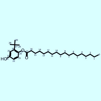 CCCCCCCCCCCCCCCCCC(=O)Oc1ccc(O)cc1C(C)(C)C